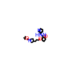 CC(C)(C)OCN1CCC(CCCOc2cccc3onc(Nc4cccnc4)c23)CC1